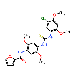 COc1cc(OC)c(NC(=S)Nc2cc(OC)c(NC(=O)c3ccco3)cc2OC)cc1Cl